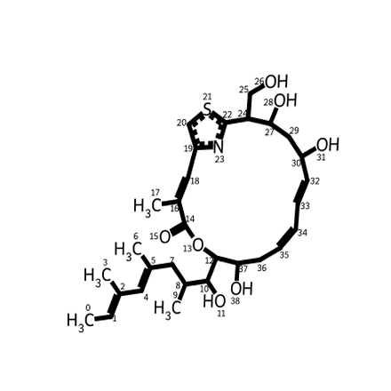 C/C=C(C)/C=C(\C)CC(C)C(O)C1OC(=O)/C(C)=C/c2csc(n2)C(CO)C(O)CC(O)/C=C/C=C\CC1O